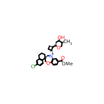 COC(=O)c1ccc2c(c1)N(C[C@@H]1CC[C@H]1[C@H]1C[C@@H](O)[C@@H](C)CO1)C[C@@]1(CCCc3cc(Cl)ccc31)CO2